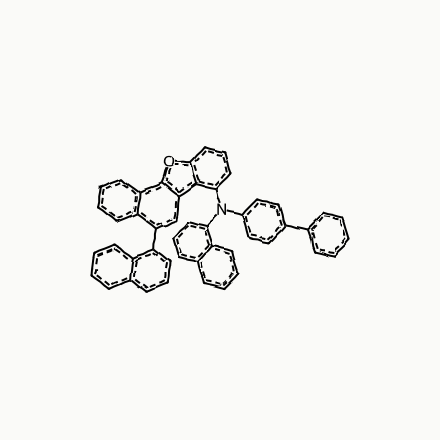 c1ccc(-c2ccc(N(c3cccc4ccccc34)c3cccc4oc5c6ccccc6c(-c6cccc7ccccc67)cc5c34)cc2)cc1